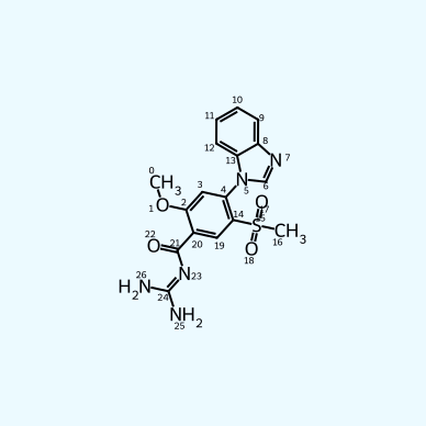 COc1cc(-n2cnc3ccccc32)c(S(C)(=O)=O)cc1C(=O)N=C(N)N